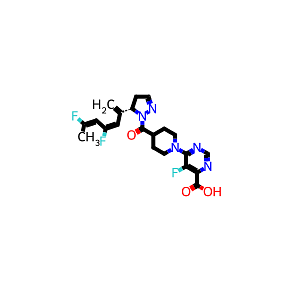 C=C(/C=C(F)\C=C(/C)F)[C@@H]1CC=NN1C(=O)C1CCN(c2ncnc(C(=O)O)c2F)CC1